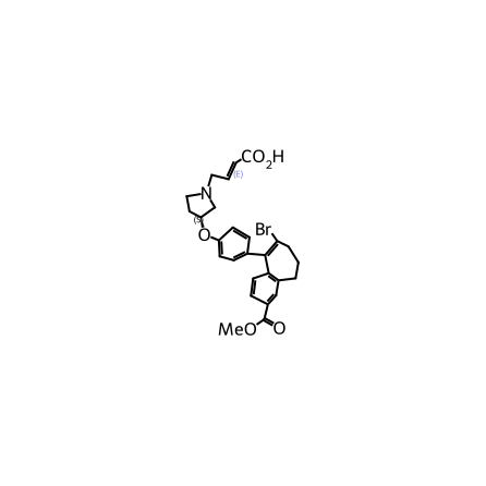 COC(=O)c1ccc2c(c1)CCCC(Br)=C2c1ccc(O[C@H]2CCN(C/C=C/C(=O)O)C2)cc1